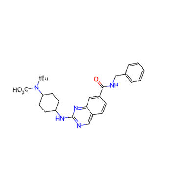 CC(C)(C)N(C(=O)O)C1CCC(Nc2ncc3ccc(C(=O)NCc4ccccc4)cc3n2)CC1